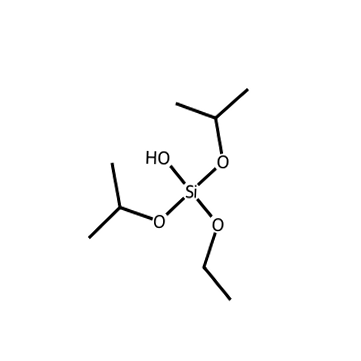 CCO[Si](O)(OC(C)C)OC(C)C